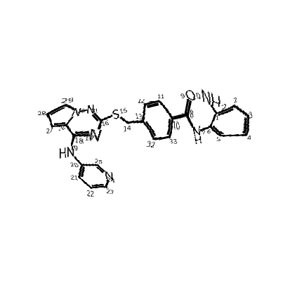 Nc1ccccc1NC(=O)c1ccc(CSc2nc(Nc3cccnc3)c3cccn3n2)cc1